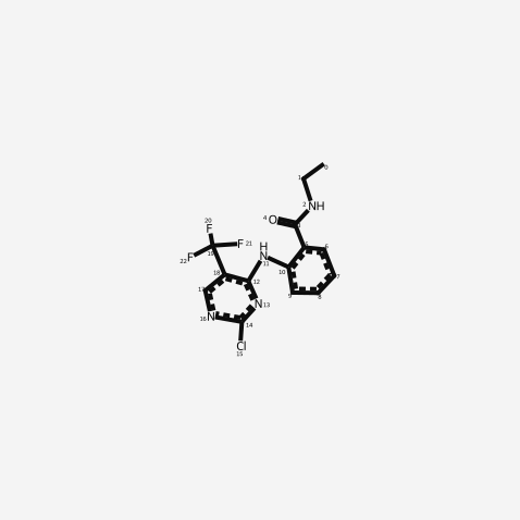 CCNC(=O)c1ccccc1Nc1nc(Cl)ncc1C(F)(F)F